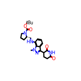 Cn1nc(C2CCC(=O)NC2=O)c2cccc(NC[C@@H]3CCCN3C(=O)OC(C)(C)C)c21